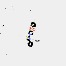 COc1ccccc1-c1csc(N2CCC(S(=O)(=O)c3ccc(F)cc3)CC2)n1